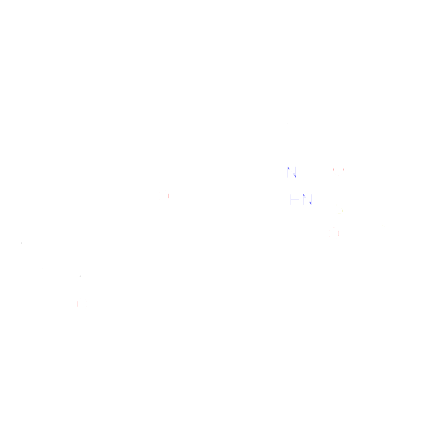 O=C(c1ccc(OCCCC2CCCN2NS(=O)(=O)c2cccs2)cc1)C1CC1